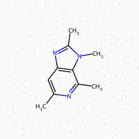 Cc1cc2nc(C)n(C)c2c(C)n1